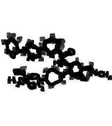 Cn1cc2cc(NC(=O)c3cccc(-c4cnn(C5CCCCO5)c4)n3)c(N3CCC(CO[Si](C)(C)C(C)(C)C)CC3)cc2n1